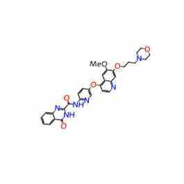 COc1cc2c(Oc3ccc(NC(=O)c4nc5ccccc5c(=O)[nH]4)nc3)ccnc2cc1OCCCN1CCOCC1